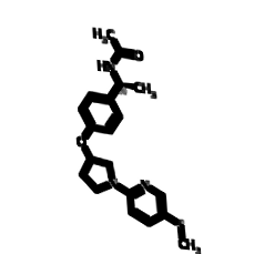 CSc1ccc(N2CCC(Oc3ccc([C@H](C)NC(C)=O)cc3)C2)nc1